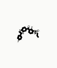 CCCS(=O)(=O)Nc1cccc(C(=O)c2ccc3ncc(-c4ccc(F)cc4)nc3c2)c1F